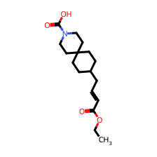 CCOC(=O)C=CCC1CCC2(CC1)CCN(C(=O)O)CC2